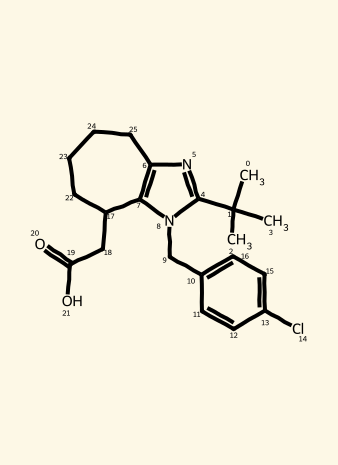 CC(C)(C)c1nc2c(n1Cc1ccc(Cl)cc1)C(CC(=O)O)CCCC2